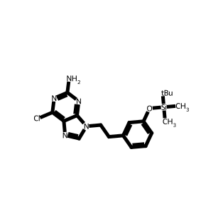 CC(C)(C)[Si](C)(C)Oc1cccc(CCn2cnc3c(Cl)nc(N)nc32)c1